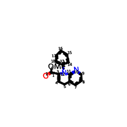 COC(=O)C1=CCc2cccnc2N1c1ccccc1